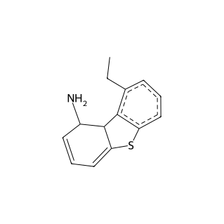 CCc1cccc2c1C1C(=CC=CC1N)S2